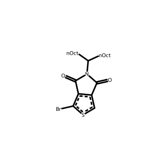 CCCCCCCCC(CCCCCCCC)N1C(=O)c2csc(Br)c2C1=O